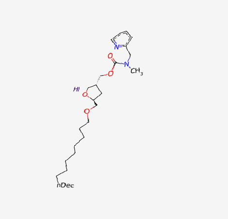 CCCCCCCCCCCCCCCCCCOC[C@@H]1C[C@@H](COC(=O)N(C)Cc2ccccn2)CO1.I